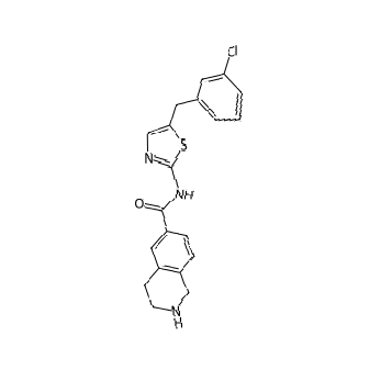 O=C(Nc1ncc(Cc2cccc(Cl)c2)s1)c1ccc2c(c1)CCNC2